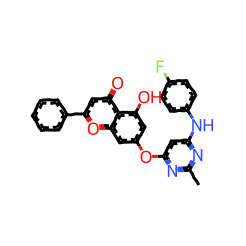 Cc1nc(Nc2ccc(F)cc2)cc(Oc2cc(O)c3c(=O)cc(-c4ccccc4)oc3c2)n1